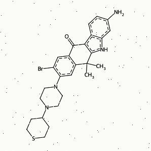 CC1(C)c2cc(N3CCN(C4CCSCC4)CC3)c(Br)cc2C(=O)c2c1[nH]c1cc(N)ccc21